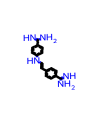 N=C(N)c1ccc(C=CNc2ccc(C(=N)N)cc2)cc1